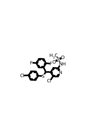 CS(=O)(=O)Nc1cc(C(Sc2ccc(Cl)cc2)c2cc(F)ccc2F)c(Cl)cn1